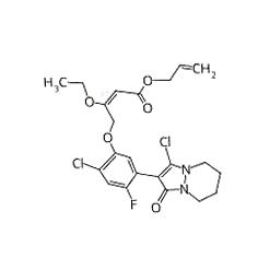 C=CCOC(=O)/C=C(\COc1cc(-c2c(Cl)n3n(c2=O)CCCC3)c(F)cc1Cl)OCC